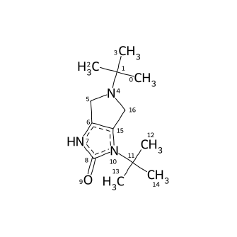 CC(C)(C)N1Cc2[nH]c(=O)n(C(C)(C)C)c2C1